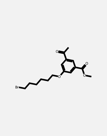 COC(=O)c1cc(OCCCCCCBr)cc(C(C)=O)c1